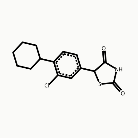 O=C1NC(=O)C(c2ccc(C3CCCCC3)c(Cl)c2)S1